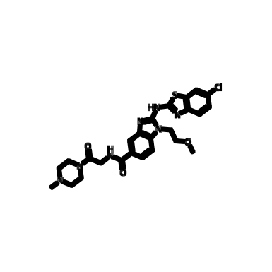 COCCn1c(Nc2nc3ccc(Cl)cc3s2)nc2cc(C(=O)NCC(=O)N3CCN(C)CC3)ccc21